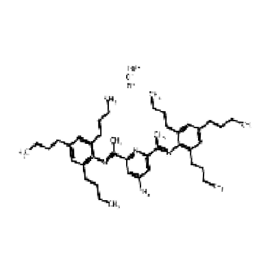 CCCCc1cc(CCCC)c(N=C(C)c2cc(C)cc(C(C)=Nc3c(CCCC)cc(CCCC)cc3CCCC)n2)c(CCCC)c1.[Cl-].[Cl-].[Fe+2]